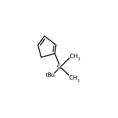 CC(C)(C)[Si](C)(C)C1=[C]C=CC1